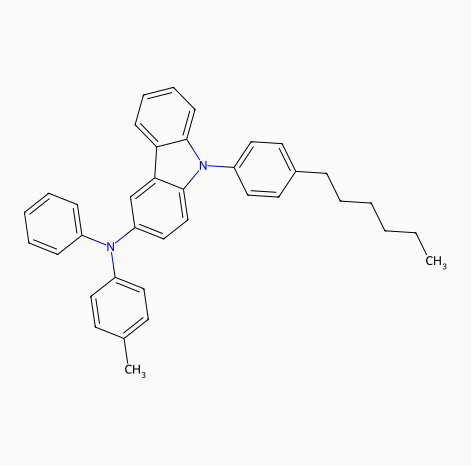 CCCCCCc1ccc(-n2c3ccccc3c3cc(N(c4ccccc4)c4ccc(C)cc4)ccc32)cc1